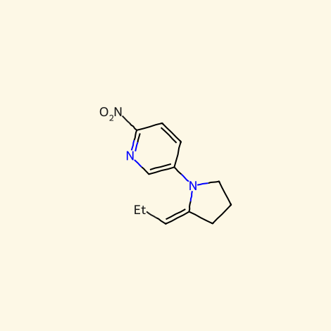 CC/C=C1/CCCN1c1ccc([N+](=O)[O-])nc1